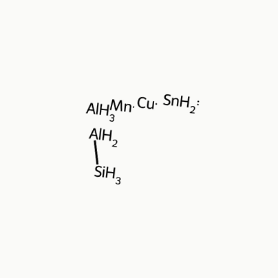 [AlH2][SiH3].[AlH3].[Cu].[Mn].[SnH2]